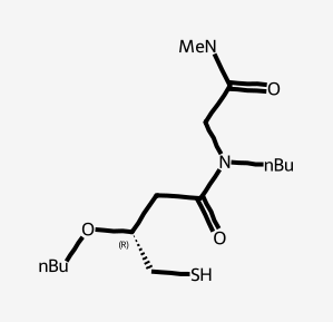 CCCCO[C@@H](CS)CC(=O)N(CCCC)CC(=O)NC